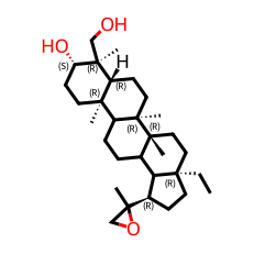 CC[C@]12CC[C@@H](C3(C)CO3)C1C1CCC3[C@@]4(C)CC[C@H](O)[C@@](C)(CO)[C@@H]4CC[C@@]3(C)[C@]1(C)CC2